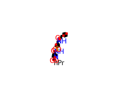 CCCOC(=O)c1ccc(C(=O)NS(=O)(=O)c2ccc(CNC(=O)CCc3ccccc3)cc2)cn1